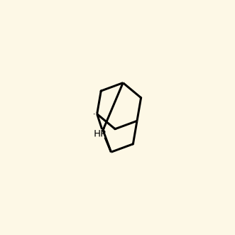 C1[C]2CC3CC1CC(C3)P2